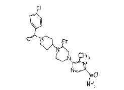 CC[C@H]1CN(c2ncc(C(N)=O)nc2C)CCN1C1CCN(C(=O)c2ccc(Cl)cc2)CC1